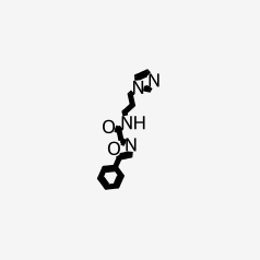 O=C(NCCCn1ccnc1)c1ncc(-c2ccccc2)o1